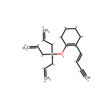 C#CC=CC1=C(O[Si](CC=C)(CC=C)CC=C)CCCC1